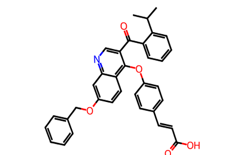 CC(C)c1ccccc1C(=O)c1cnc2cc(OCc3ccccc3)ccc2c1Oc1ccc(/C=C/C(=O)O)cc1